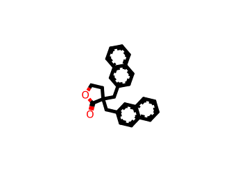 O=C1OCCC1(Cc1ccc2ccccc2c1)Cc1ccc2ccccc2c1